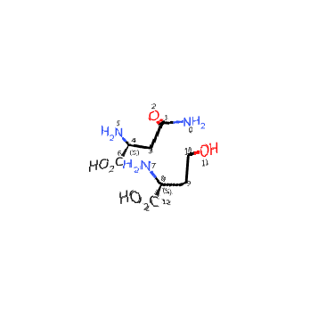 NC(=O)C[C@H](N)C(=O)O.N[C@@H](CCO)C(=O)O